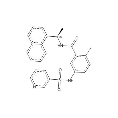 Cc1ccc(NS(=O)(=O)c2cccnc2)cc1C(=O)N[C@H](C)c1cccc2ccccc12